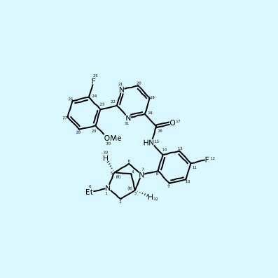 CCN1C[C@H]2C[C@@H]1CN2c1ccc(F)cc1NC(=O)c1ccnc(-c2c(F)cccc2OC)n1